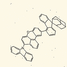 c1ccc2c(c1)-c1c(-c3ccc4c(c3)-c3cccc5c(-n6c7ccccc7c7ccccc76)ccc(c35)O4)cccc1C21C2CC3CC(C2)CC1C3